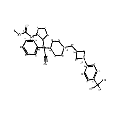 COC(=O)NN1CCCC1C(C#N)(c1ccccc1)C1CCN(CC2CN(c3ccc(C(F)(F)F)cc3)C2)CC1